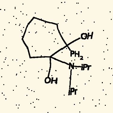 CC(C)N(C(C)C)C1(O)CCCCC1(O)P